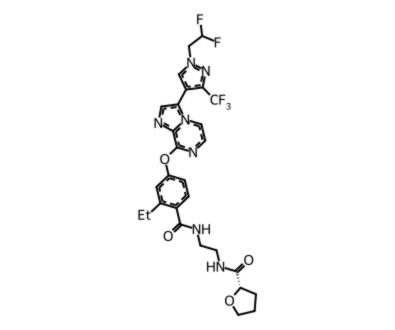 CCc1cc(Oc2nccn3c(-c4cn(CC(F)F)nc4C(F)(F)F)cnc23)ccc1C(=O)NCCNC(=O)[C@@H]1CCCO1